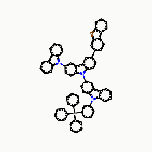 c1ccc([Si](c2ccccc2)(c2ccccc2)c2cccc(-n3c4ccccc4c4cc(-n5c6ccc(-c7ccc8c(c7)sc7ccccc78)cc6c6cc(-n7c8ccccc8c8ccccc87)ccc65)ccc43)c2)cc1